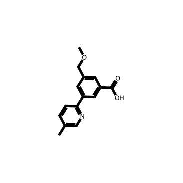 COCc1cc(C(=O)O)cc(-c2ccc(C)cn2)c1